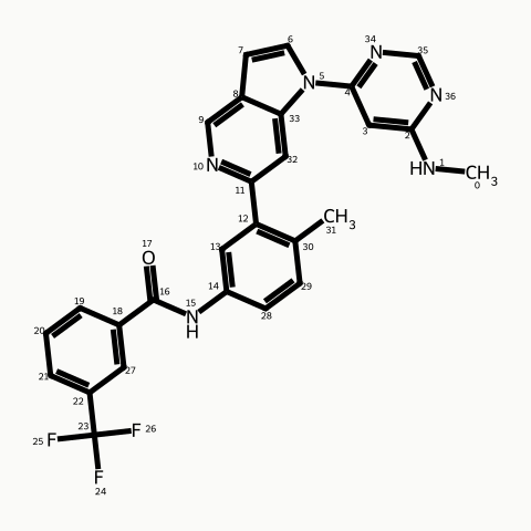 CNc1cc(-n2ccc3cnc(-c4cc(NC(=O)c5cccc(C(F)(F)F)c5)ccc4C)cc32)ncn1